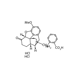 COc1ccc2c3c1O[C@H]1C(=O)CC[C@H]4[C@@H](C2)N(C)CC[C@]314.Cl.Cl.Nc1ccccc1C(=O)O